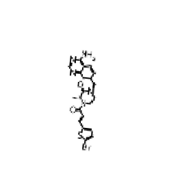 C[C@H]1C(=O)N(Cc2ccc3c(N)ncnc3c2)CCN1C(=O)C=Cc1ccc(Br)s1